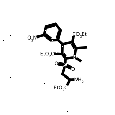 CCOC(=O)C1=C(C)N(C)C(S(=O)(=O)CC(N)C(=O)OCC)=C(C(=O)OCC)C1c1cccc([N+](=O)[O-])c1